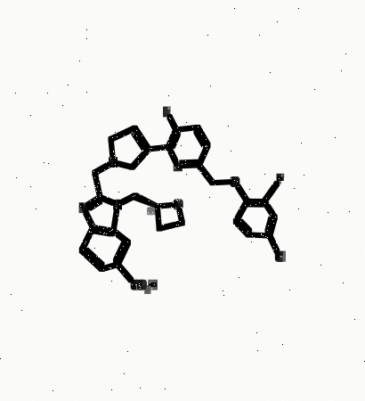 O=C(O)c1ccc2nc(CN3CC=C(c4nc(COc5ccc(Cl)cc5F)ccc4F)C3)n(C[C@@H]3CCO3)c2c1